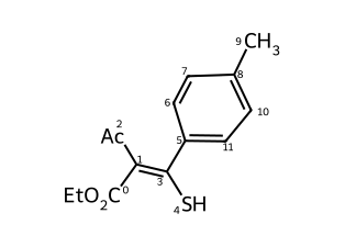 CCOC(=O)C(C(C)=O)=C(S)c1ccc(C)cc1